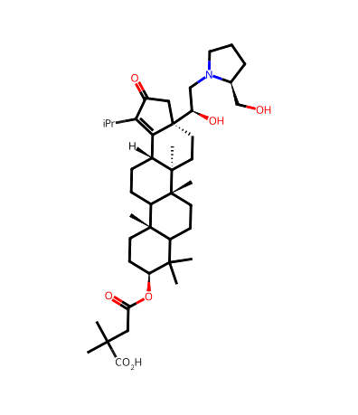 CC(C)C1=C2[C@H]3CCC4[C@@]5(C)CC[C@H](OC(=O)CC(C)(C)C(=O)O)C(C)(C)C5CC[C@@]4(C)[C@]3(C)CC[C@@]2([C@H](O)CN2CCC[C@H]2CO)CC1=O